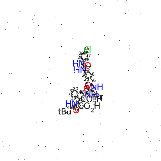 CC(C)CC(NC(=O)Cc1ccc(NC(=O)Nc2ccc(Cl)cc2)cc1)C(=O)NC(Cc1ccccc1CC(NC(=O)CC(C)(C)C)C(=O)O)C(=O)O